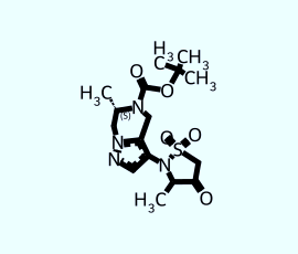 CC1C(=O)CS(=O)(=O)N1c1cnn2c1CN(C(=O)OC(C)(C)C)[C@@H](C)C2